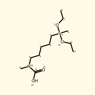 CCO[Si](C)(CCCCCN(C)C(=O)O)OCC